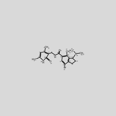 Cc1cc(C)c(CNC(=O)c2cc(Br)c3c(c2C)C(N(C)C)CC3)c(=O)[nH]1